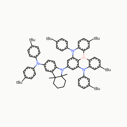 CC(C)(C)c1ccc(N(c2ccc(C(C)(C)C)cc2)c2ccc3c(c2)C2(C)CCCCC2(C)N3c2cc3c4c(c2)N(c2cccc(C(C)(C)C)c2)c2cc(C(C)(C)C)ccc2B4c2cc(C(C)(C)C)ccc2N3c2ccc(C(C)(C)C)cc2)cc1